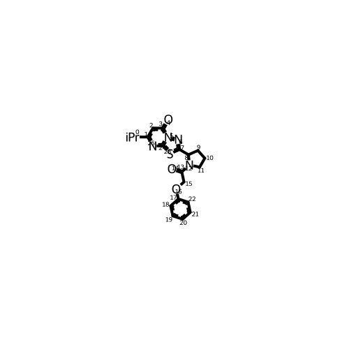 CC(C)c1cc(=O)n2nc(C3CCCN3C(=O)COc3ccccc3)sc2n1